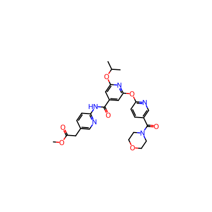 COC(=O)Cc1ccc(NC(=O)c2cc(Oc3ccc(C(=O)N4CCOCC4)cn3)nc(OC(C)C)c2)nc1